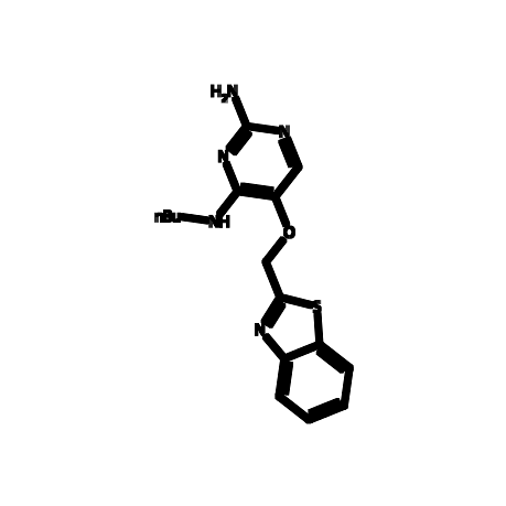 CCCCNc1nc(N)ncc1OCc1nc2ccccc2s1